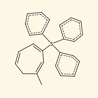 CC1=CC(S(c2ccccc2)(c2ccccc2)c2ccccc2)=CC=CC1